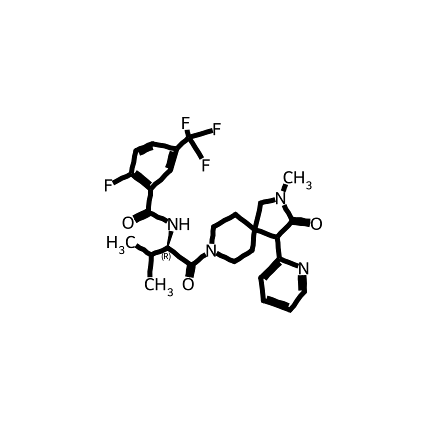 CC(C)[C@@H](NC(=O)c1cc(C(F)(F)F)ccc1F)C(=O)N1CCC2(CC1)CN(C)C(=O)C2c1ccccn1